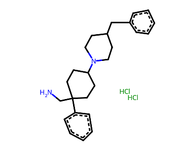 Cl.Cl.NCC1(c2ccccc2)CCC(N2CCC(Cc3ccccc3)CC2)CC1